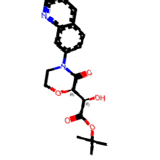 CC(C)(C)OC(=O)[C@H](O)[C@H]1OCCN(c2ccc3cccnc3c2)C1=O